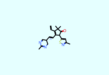 C=CC1=C(/C=C/C2C=NC(C)=NC2)C(c2cc(C)ns2)C(=O)C1(C)C